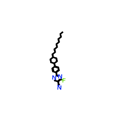 CCCCCCCCCCC1CCC(c2ccc(-c3ncc(C#N)c(F)n3)cc2)CC1